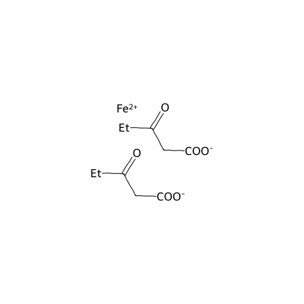 CCC(=O)CC(=O)[O-].CCC(=O)CC(=O)[O-].[Fe+2]